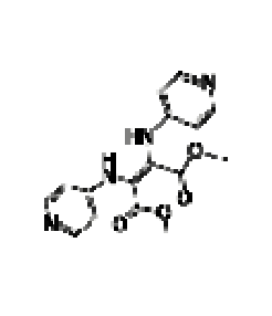 COC(=O)/C(Nc1ccncc1)=C(/Nc1ccncc1)C(=O)OC